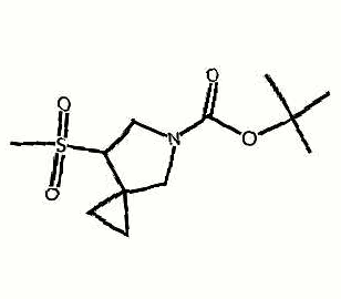 CC(C)(C)OC(=O)N1CC(S(C)(=O)=O)C2(CC2)C1